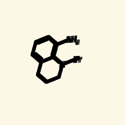 CC(C)N1CCCc2cccc(N)c21